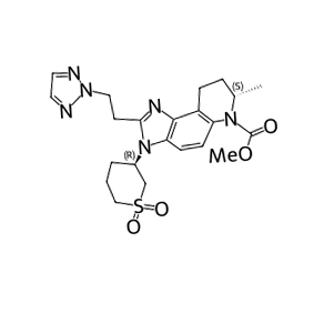 COC(=O)N1c2ccc3c(nc(CCn4nccn4)n3[C@@H]3CCCS(=O)(=O)C3)c2CC[C@@H]1C